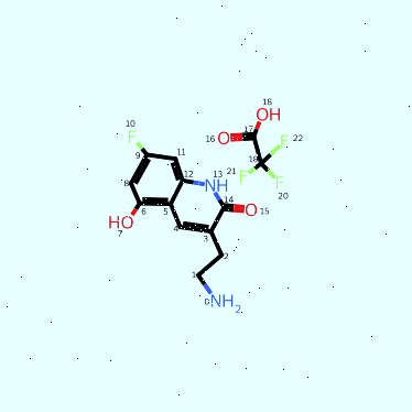 NCCc1cc2c(O)cc(F)cc2[nH]c1=O.O=C(O)C(F)(F)F